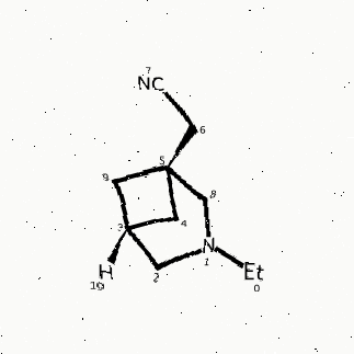 CCN1C[C@H]2C[C@@](CC#N)(C1)C2